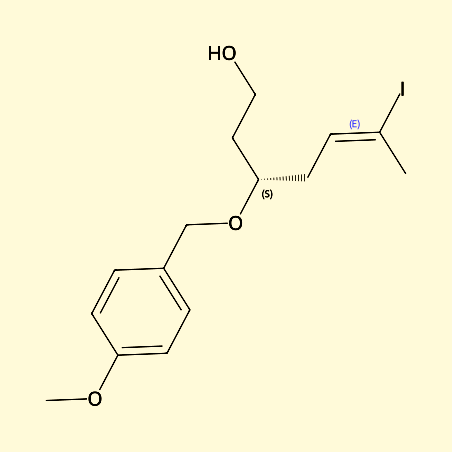 COc1ccc(CO[C@@H](C/C=C(\C)I)CCO)cc1